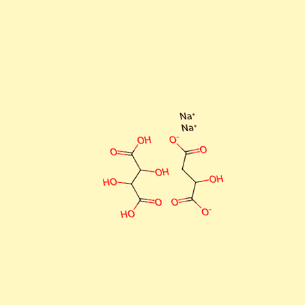 O=C(O)C(O)C(O)C(=O)O.O=C([O-])CC(O)C(=O)[O-].[Na+].[Na+]